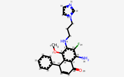 COc1c(NCCCn2ccnc2)c(F)c(N)c2c1C(c1ccccc1)C=CC2=O